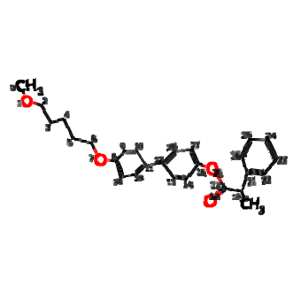 COCCCCCOc1ccc(-c2ccc(OC(=O)C(C)c3ccccc3)cc2)cc1